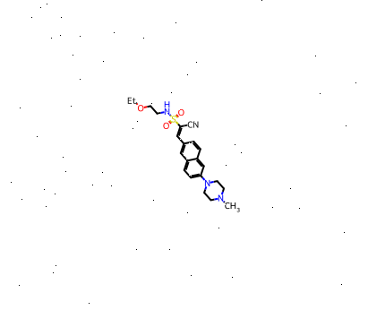 CCOCCNS(=O)(=O)/C(C#N)=C/c1ccc2cc(N3CCN(C)CC3)ccc2c1